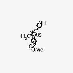 COC(=O)CN1CCN(C2=C(C)N=C(CCC3CCNCC3)S2=C=O)CC1